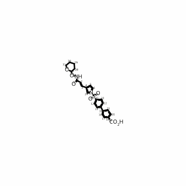 O=C(C=Cc1ccn(S(=O)(=O)c2ccc(-c3ccc(C(=O)O)cc3)cc2)c1)NOC1CCCCO1